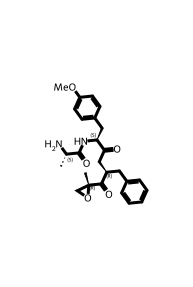 COc1ccc(C[C@H](NC(=O)[C@H](C)N)C(=O)C[C@@H](Cc2ccccc2)C(=O)[C@@]2(C)CO2)cc1